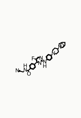 N#CCNC(=O)c1ccc(-c2nc(Nc3ccc(N4CCC(N5CC6CC(C5)O6)CC4)cc3)ncc2F)cc1